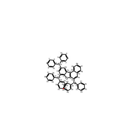 c1ccc(N(c2ccccc2)c2cc(N(c3ccccc3)c3ccccc3)c3oc4c(N(c5ccccc5)c5ccccc5)cc5ccccc5c4c3c2)cc1